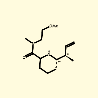 C=C[C@@H](C)[C@@H]1CCCC(C(=O)N(C)CCOC)N1